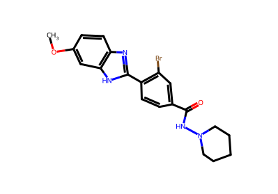 COc1ccc2nc(-c3ccc(C(=O)NN4CCCCC4)cc3Br)[nH]c2c1